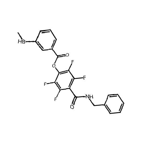 CBc1cccc(C(=O)Oc2c(F)c(F)c(C(=O)NCc3ccccc3)c(F)c2F)c1